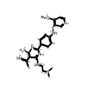 COc1ccncc1SNc1ccc(-c2nc(N)c(C(C)=N)c(NCCN(C)C)n2)cc1